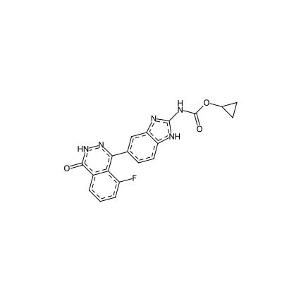 O=C(Nc1nc2cc(-c3n[nH]c(=O)c4cccc(F)c34)ccc2[nH]1)OC1CC1